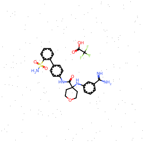 N=C(N)c1cccc(NC2(C(=O)Nc3ccc(-c4ccccc4S(N)(=O)=O)cc3)CCOCC2)c1.O=C(O)C(F)(F)F